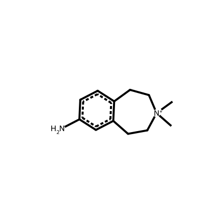 C[N+]1(C)CCc2ccc(N)cc2CC1